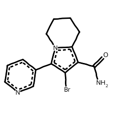 NC(=O)c1c(Br)c(-c2cccnc2)n2c1CCCC2